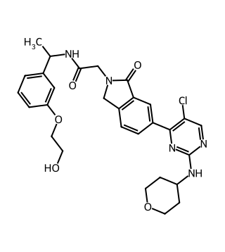 CC(NC(=O)CN1Cc2ccc(-c3nc(NC4CCOCC4)ncc3Cl)cc2C1=O)c1cccc(OCCO)c1